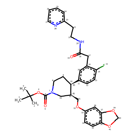 CC(C)(C)OC(=O)N1CC[C@@H](c2ccc(F)c(CC(=O)NCCc3ccccn3)c2)[C@@H](COc2ccc3c(c2)OCO3)C1